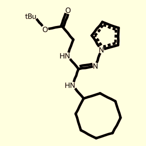 CC(C)(C)OC(=O)CNC(=Nn1cccc1)NC1CCCCCCC1